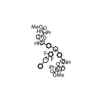 COC(=O)N[C@H](C(=O)N1CCC[C@H]1c1nc(-c2ccc(C3CC[C@H](c4ccc(-c5c[nH]c([C@@H]6CCCN6C(=O)[C@@H](NC(=O)OC)C(C)C)n5)cc4)N3c3cc(F)c(N4CCC(c5ccccc5)CC4)c(F)c3)cc2)c[nH]1)C(C)C